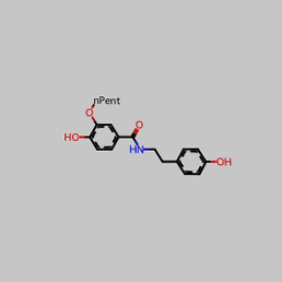 CCCCCOc1cc(C(=O)NCCc2ccc(O)cc2)ccc1O